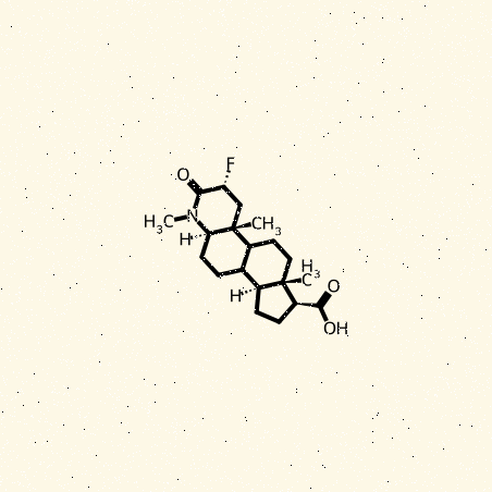 CN1C(=O)[C@H](F)C[C@]2(C)C3CC[C@]4(C)[C@@H](C(=O)O)CC[C@H]4C3CC[C@@H]12